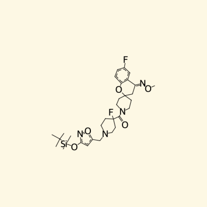 CO/N=C1\CC2(CCN(C(=O)C3(F)CCN(Cc4cc(O[Si](C)(C)C(C)(C)C)no4)CC3)CC2)Oc2ccc(F)cc21